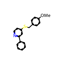 COc1ccc(CSc2ccnc(-c3ccccc3)c2)cc1